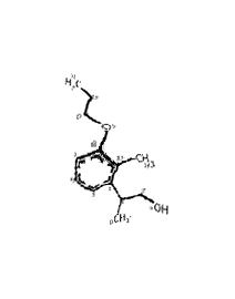 [CH2]C(CO)c1cccc(OCCC)c1C